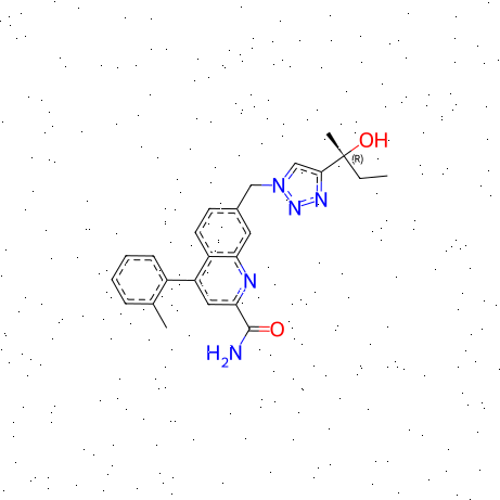 CC[C@@](C)(O)c1cn(Cc2ccc3c(-c4ccccc4C)cc(C(N)=O)nc3c2)nn1